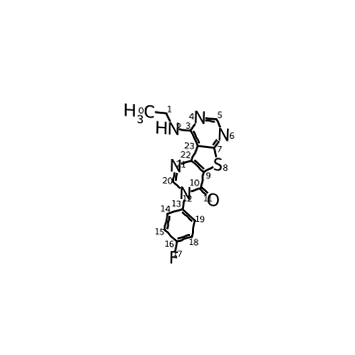 CCNc1ncnc2sc3c(=O)n(-c4ccc(F)cc4)cnc3c12